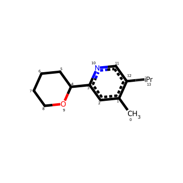 Cc1cc(C2CCCCO2)ncc1C(C)C